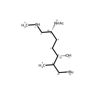 CBC[C@@H](CC[C@H](O)C(C)CC(C)(C)C)NC(C)=O